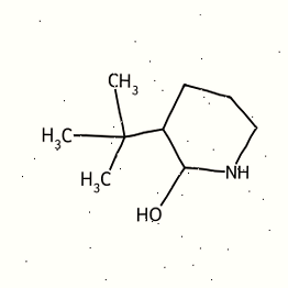 CC(C)(C)C1CCCNC1O